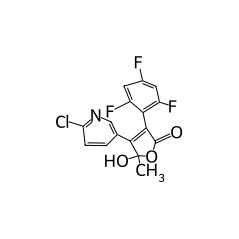 CC1(O)OC(=O)C(c2c(F)cc(F)cc2F)=C1c1ccc(Cl)nc1